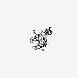 CC(=O)OC[C@H]1O[C@@H](c2cc(Cc3ccc(OS(=O)(=O)C(F)(F)F)cc3)c(C#N)cc2OC2CCC2)[C@H](OC(C)=O)[C@@H](OC(C)=O)[C@@H]1OC(C)=O